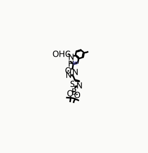 C/C(=C\c1cc(C)ccc1NC=O)c1nc(-c2cnc(B3OC(C)(C)C(C)(C)O3)s2)no1